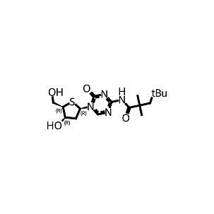 CC(C)(C)CC(C)(C)C(=O)Nc1ncn([C@H]2C[C@@H](O)[C@@H](CO)S2)c(=O)n1